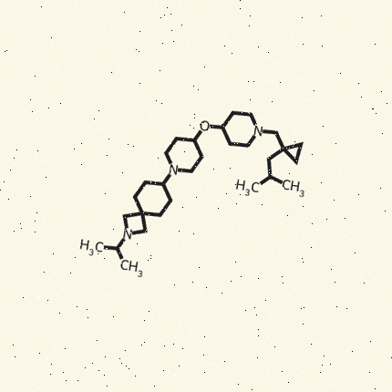 CC(C)CC1(CN2CCC(OC3CCN(C4CCC5(CC4)CN(C(C)C)C5)CC3)CC2)CC1